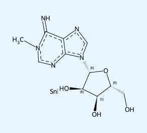 Cn1cnc2c(ncn2[C@@H]2O[C@H](CO)[C@@H](O)[C@H]2O)c1=N.[Sn]